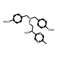 COc1ccc(CN(Cc2ccc(OC)cc2)SCC(O)c2cnc(C)cn2)cc1